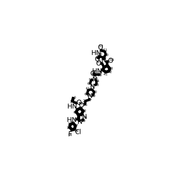 C=CC(=O)Nc1cc2c(Nc3ccc(F)c(Cl)c3)ncnc2cc1OCCCN1CCC(N2CCN(C(=O)CNc3cccc4c3C(=O)N(C3CCC(=O)NC3=O)C4=O)CC2)CC1